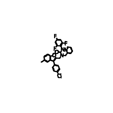 Cc1ccc2oc(CN(Cc3ccccn3)C(=O)Nc3c(F)cc(F)cc3F)c(-c3ccc(Cl)cc3)c2c1